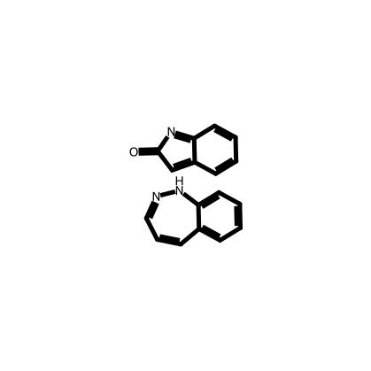 C1=Cc2ccccc2NN=C1.O=C1C=c2ccccc2=N1